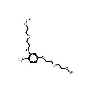 CCCOCCOCCOc1ccc([N+](=O)[O-])c(OCCOCCOCCC)c1